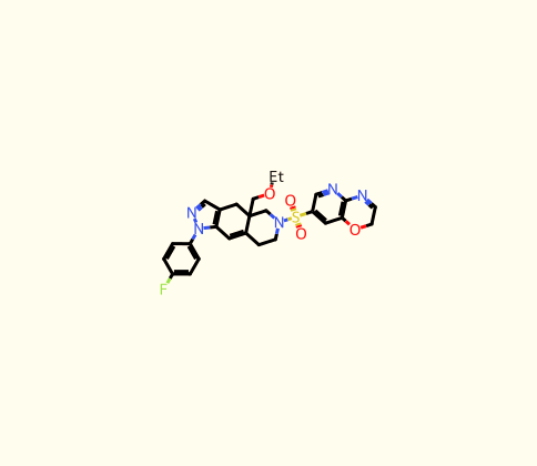 CCOCC12Cc3cnn(-c4ccc(F)cc4)c3C=C1CCN(S(=O)(=O)c1cnc3c(c1)OCC=N3)C2